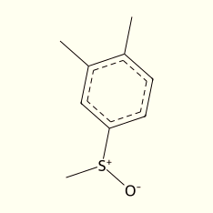 Cc1ccc([S+](C)[O-])cc1C